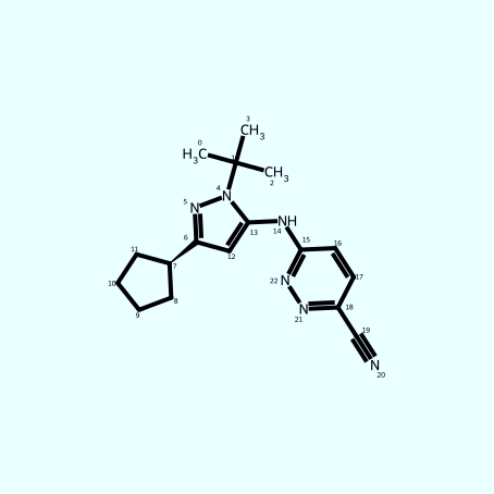 CC(C)(C)n1nc([C@H]2C[CH]CC2)cc1Nc1ccc(C#N)nn1